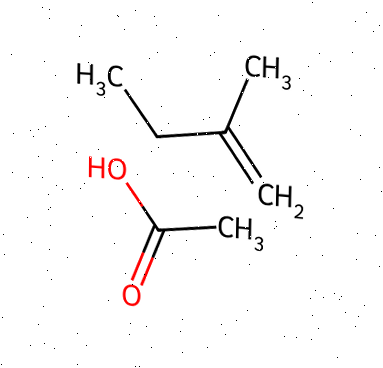 C=C(C)CC.CC(=O)O